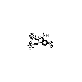 CNC(=O)c1cc([N+](=O)[O-])ccc1N(CCOS(C)(=O)=O)CCOS(C)(=O)=O